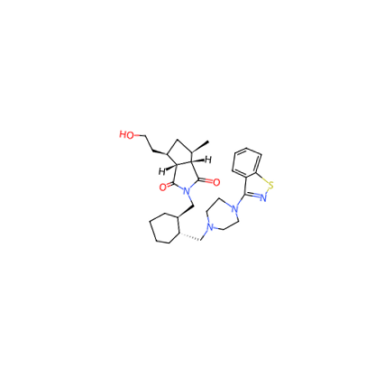 C[C@@H]1C[C@H](CCO)[C@H]2C(=O)N(C[C@@H]3CCCC[C@H]3CN3CCN(c4nsc5ccccc45)CC3)C(=O)[C@H]21